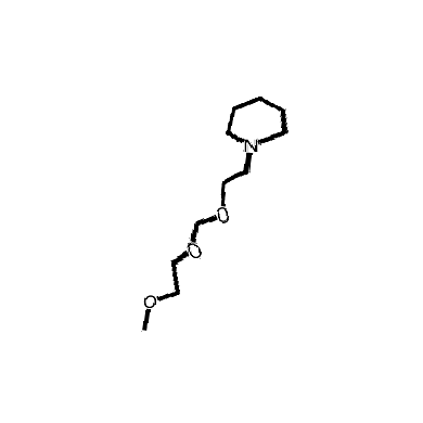 COCCOCOCCN1CCCCC1